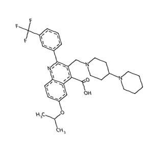 CC(C)Oc1ccc2nc(-c3cccc(C(F)(F)F)c3)c(CN3CCC(N4CCCCC4)CC3)c(C(=O)O)c2c1